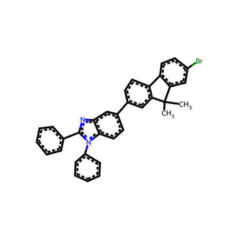 CC1(C)c2cc(Br)ccc2-c2ccc(-c3ccc4c(c3)nc(-c3ccccc3)n4-c3ccccc3)cc21